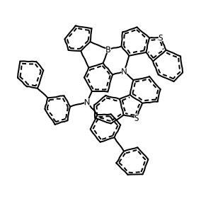 c1ccc(-c2ccc(N(c3cccc(-c4ccccc4)c3)c3cc4c5c(c3)N(c3cccc6sc7ccccc7c36)c3c(ccc6sc7ccccc7c36)B5c3ccccc3-4)cc2)cc1